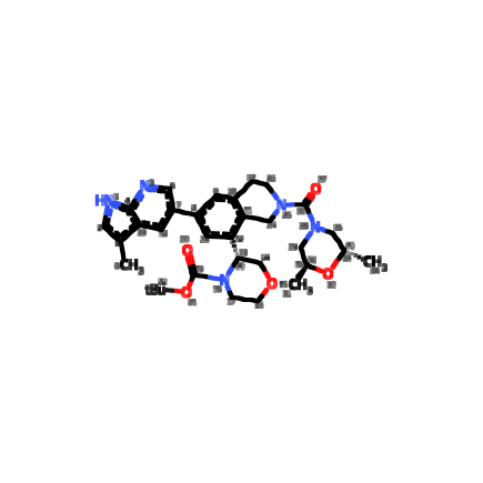 Cc1c[nH]c2ncc(-c3cc4c(c([C@@H]5COCCN5C(=O)OC(C)(C)C)c3)CN(C(=O)N3C[C@H](C)O[C@@H](C)C3)CC4)cc12